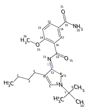 CCCCc1cn(C(C)(C)C)s/c1=N\C(=O)c1cc(C(N)=O)ccc1OC